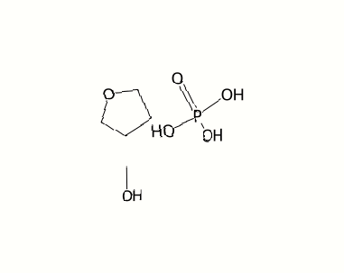 C1CCOC1.CO.O=P(O)(O)O